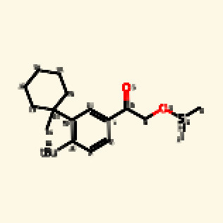 C[SiH](C)OCC(=O)c1ccc(C(C)(C)C)c(C2(C)CCCCC2)c1